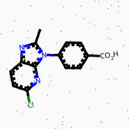 Cc1nc2ccc(Cl)nc2n1-c1ccc(C(=O)O)cc1